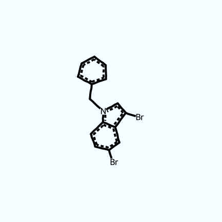 Brc1ccc2c(c1)c(Br)cn2Cc1ccccc1